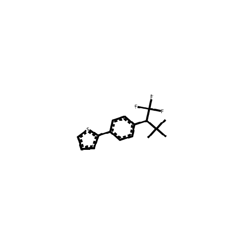 CC(C)(C)C(c1ccc(-c2cccs2)cc1)C(F)(F)F